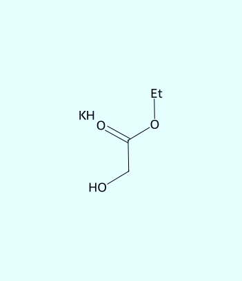 CCOC(=O)CO.[KH]